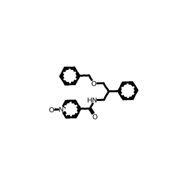 O=C(NCC(COCc1ccccc1)c1ccccc1)c1cc[n+]([O-])cc1